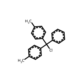 Cc1ccc(C(Cl)(c2ccccc2)c2ccc(C)cc2)cc1